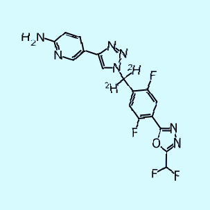 [2H]C([2H])(c1cc(F)c(-c2nnc(C(F)F)o2)cc1F)n1cc(-c2ccc(N)nc2)nn1